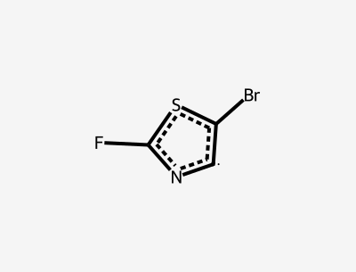 Fc1n[c]c(Br)s1